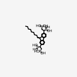 CCCCCCCCC=C1c2cc(C(CB(O)O)B(O)O)ccc2-c2ccc(C(CB(O)O)B(O)O)cc21